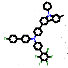 Cc1ccc2c3cc(-c4ccc(N(c5ccc(-c6ccc(F)cc6)cc5)c5ccc(-c6c(F)c(F)c(F)c(F)c6F)cc5)cc4)ccc3n(-c3ccccc3)c2c1